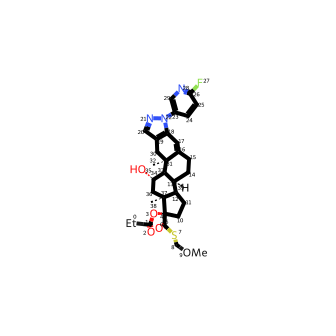 CCC(=O)O[C@]1(C(=O)SCOC)CCC2[C@@H]3CCC4=Cc5c(cnn5-c5ccc(F)nc5)C[C@]4(C)C3[C@@H](O)C[C@@]21C